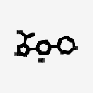 Cl.O=C(O)c1c[nH]nc1-c1ccc(C2=CC=CNC=N2)cc1